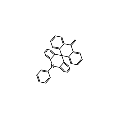 C=C1c2ccccc2C2(c3ccccc31)c1ccccc1N(c1ccccc1)c1ccccc12